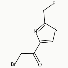 O=C(CBr)c1csc(CF)n1